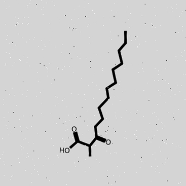 CCCCCCCCCCCC(=O)C(C)C(=O)O